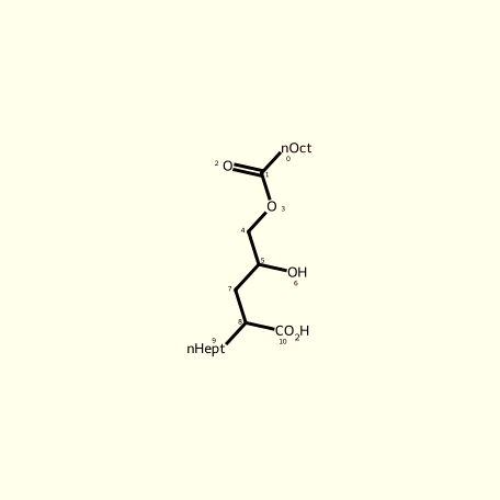 CCCCCCCCC(=O)OCC(O)CC(CCCCCCC)C(=O)O